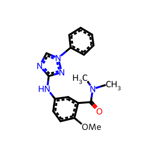 COc1ccc(Nc2ncn(-c3ccccc3)n2)cc1C(=O)N(C)C